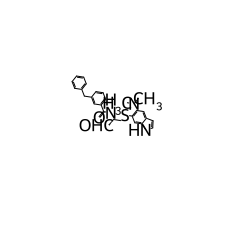 CN(C)c1cc2cc[nH]c2cc1SC[C@@H](C=O)NC(=O)c1cccc(Cc2ccccc2)c1